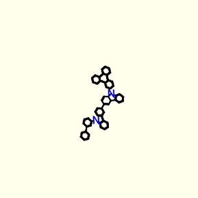 C1=CC2C(C=C1c1ccc3c(c1)c1ccccc1n3-c1cccc(-c3ccccc3)c1)c1ccccc1N2c1ccc2c3ccccc3c3ccccc3c2c1